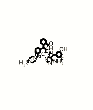 CC(c1oc(=O)c2ccccc2c1-c1cccc(CN2CCN(C)CC2)c1)N1NC(c2cc(O)cc(F)c2)c2c(N)ncnc21